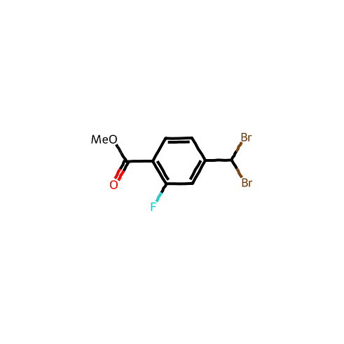 COC(=O)c1ccc(C(Br)Br)cc1F